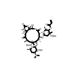 C=CC(=O)OC1[C@H](C)O[C@@H](O[C@H]2[C@H](C)[C@@H](O[C@@H]3O[C@H](C)C[C@H](N(C)C)[C@H]3O)[C@](C)(OC)C[C@@H](C)C(=O)[C@H](C)[C@H]3NC(=O)O[C@]3(C)[C@@H](CC)OC(=O)[C@@H]2C)C[C@@]1(C)OC